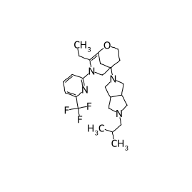 CCC1=C2CC(N3CC4CN(CC(C)C)CC4C3)(CCO2)CN1c1cccc(C(F)(F)F)n1